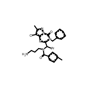 Cc1ccc(C(=O)N(CCCN)C(c2nc3c(Cl)c(C)nn3c(=O)n2Cc2ccccc2)C(C)C)cc1